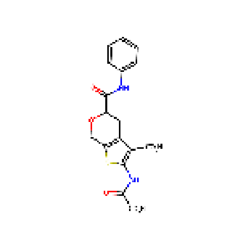 O=C(O)C(=O)Nc1sc2c(c1C(=O)O)CC(C(=O)Nc1ccccc1)OC2